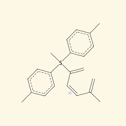 C=C(C)/C=C\C(=C)S(C)(c1ccc(C)cc1)c1ccc(C)cc1